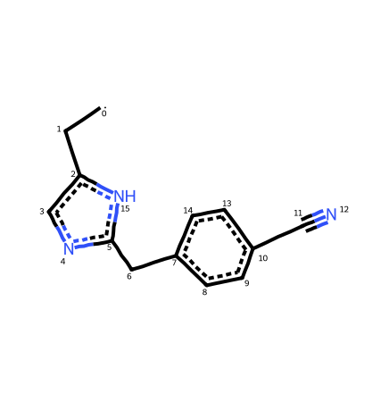 [CH2]Cc1cnc(Cc2ccc(C#N)cc2)[nH]1